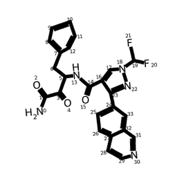 NC(=O)C(=O)C(Cc1ccccc1)NC(=O)c1cn(C(F)F)nc1-c1ccc2ccncc2c1